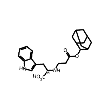 O=C(CCN[C@H](Cc1c[nH]c2ccccc12)C(=O)O)OC1C2CC3CC(C2)CC1C3